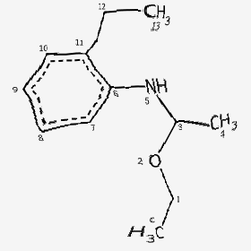 CCOC(C)Nc1ccccc1CC